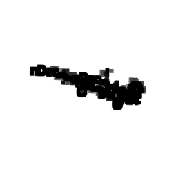 CCCCCCCCCCCCCCCCC(NC(=O)OCCSCCOC(=O)NCCCCCCCCCCCCCCC)[N+]1(CC)C=CC=CC1.[I-]